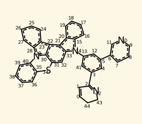 C1=CC(c2cc(-c3cccnc3)cc(-n3c4ccccc4c4c5c6ccccc6n6c5c(cc43)Sc3ccccc3-6)c2)=NCC1